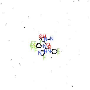 CC1(O)CC(C(=O)N(c2cc(F)c(S(F)(F)(F)(F)F)cc2F)C(C(=O)NC2CCC(F)(F)CC2)c2cncc(F)c2)N(C#N)C1